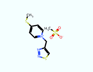 CS(=O)(=O)[O-].CSc1cc[n+](Cc2csnn2)cc1